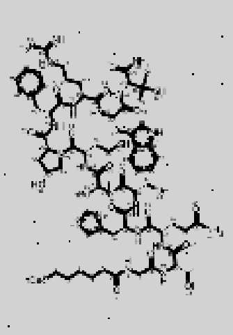 CCCCCCCCCCCCCCCC(=O)NCC(=O)N[C@@H](CO)C(=O)N[C@@H](CCC(N)=O)C(=O)N[C@@H](Cc1c[nH]cn1)C(=O)N[C@@H](CO)C(=O)N[C@@H](CCCC)C(=O)N[C@@H](CCS)C(=O)N1C[C@H](O)C[C@H]1C(=O)N[C@H](Cc1ccccc1)C(=O)N[C@@H](CCCNC(=N)N)C(=O)N[C@@H](Cc1c[nH]c2ccccc12)C(=O)N[C@H](C(N)=O)C(C)(C)S